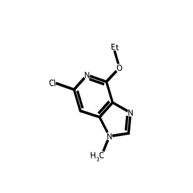 CCOc1nc(Cl)cc2c1ncn2C